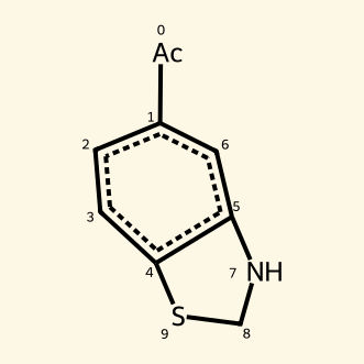 CC(=O)c1ccc2c(c1)NCS2